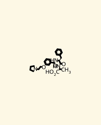 C[C@H](NC(=O)[C@H](Cc1ccccc1)NC(=O)c1cccc(OCCN2CCCC2)c1)C(=O)O